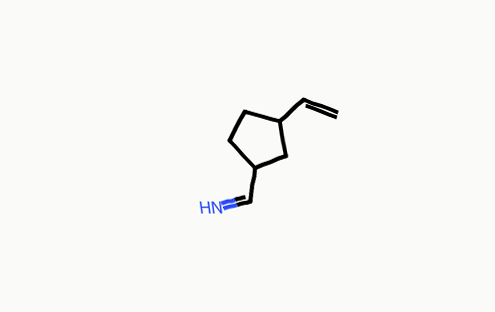 C=CC1CCC(C=N)C1